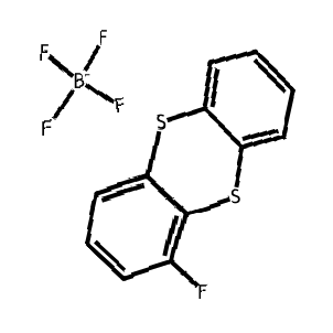 F[B-](F)(F)F.Fc1cccc2c1Sc1ccccc1S2